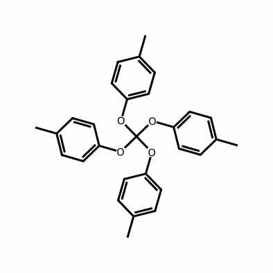 Cc1ccc(OC(Oc2ccc(C)cc2)(Oc2ccc(C)cc2)Oc2ccc(C)cc2)cc1